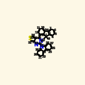 CC1(C)c2ccccc2-c2cccc(-c3nc(-n4c5ccccc5c5ccccc54)nc4cscc34)c21